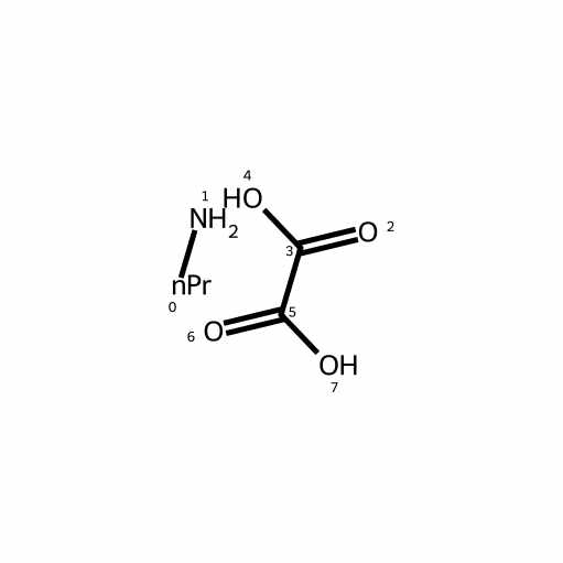 CCCN.O=C(O)C(=O)O